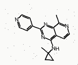 Cc1nccc2c(NC3(C)CC3)nc(-c3ccncc3)nc12